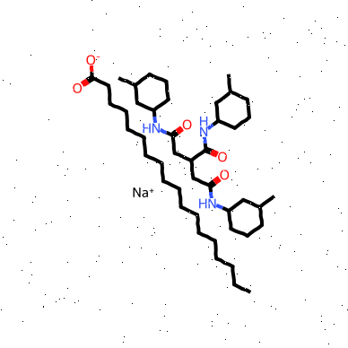 CC1CCCC(NC(=O)CC(CC(=O)NC2CCCC(C)C2)C(=O)NC2CCCC(C)C2)C1.CCCCCCCCCCCCCCCCCC(=O)[O-].[Na+]